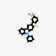 Cc1ccc2sc3cc4c(cc3c2c1)c1ccccc1n4-c1ccccc1